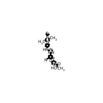 C[C@H](O)C(=O)N1CC[C@H](Oc2ccc(-c3ncnc(Nc4ccc(N5C[C@@H](C)N(C6COC6)C[C@@H]5C)cc4)n3)cc2C#N)[C@@H](F)C1